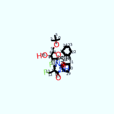 CC(C)(C)OC[C@H]1O[C@](n2cc(CF)c(=O)[nH]c2=O)([SiH](c2ccccc2)c2ccccc2)[C@H](F)[C@@H]1O